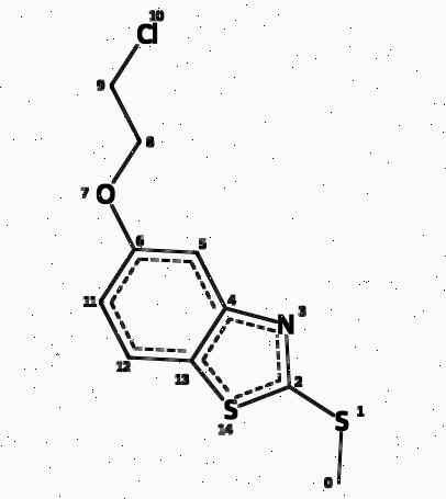 CSc1nc2cc(OCCCl)ccc2s1